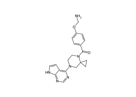 NCOc1ccc(C(=O)N2CCN(c3ncnc4[nH]ccc34)CC23CC3)cc1